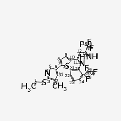 CCSc1ncc(-c2ccc(/C(=C/C(=N)C(F)(F)F)Nc3ccccc3C(F)(F)F)s2)cc1C